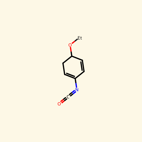 CCOC1C=CC(N=C=O)=CC1